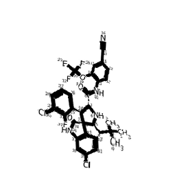 CC(C)(C)C[C@@H]1N[C@@H](C(=O)Nc2ccc(C#N)cc2OC(F)(F)F)[C@H](c2cccc(Cl)c2F)[C@]12C(=O)Nc1cc(Cl)ccc12